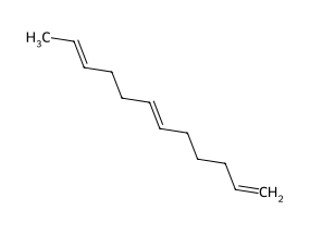 C=CCCCC=CCCC=CC